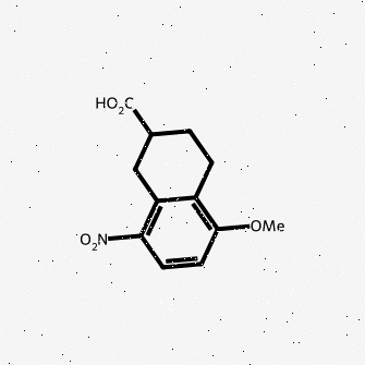 COc1ccc([N+](=O)[O-])c2c1CCC(C(=O)O)C2